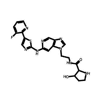 O=C(NCCn1cnc2cnc(Nc3ncc(-c4ncccc4F)s3)cc21)C1NCCC1O